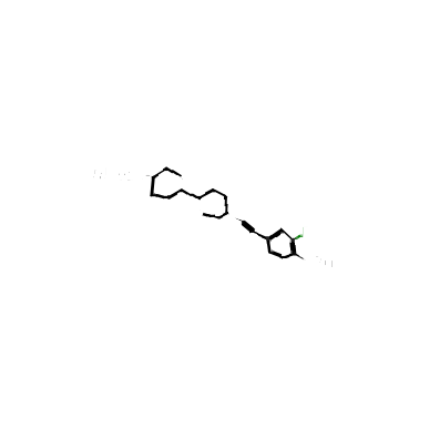 CCCCCCC[C@H]1CC[C@H]([C@H]2CC[C@H](C#Cc3ccc(CCCC)c(F)c3)CC2)CC1